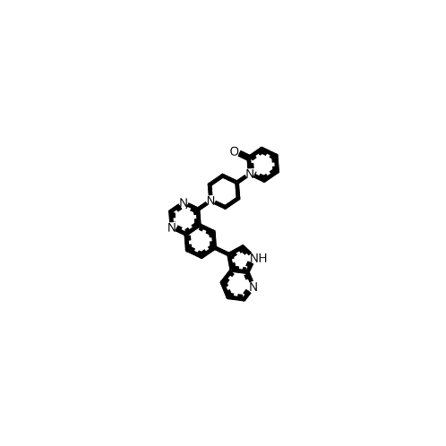 O=c1ccccn1C1CCN(c2ncnc3ccc(-c4c[nH]c5ncccc45)cc23)CC1